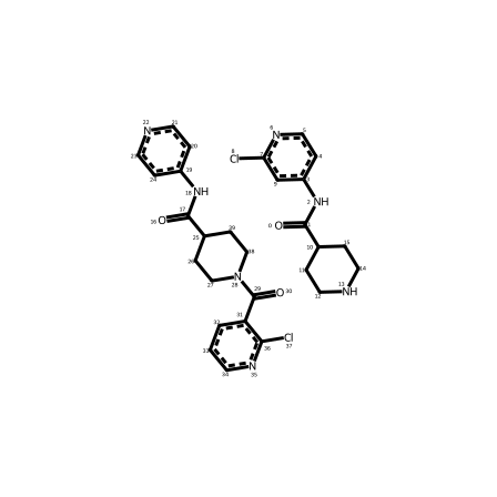 O=C(Nc1ccnc(Cl)c1)C1CCNCC1.O=C(Nc1ccncc1)C1CCN(C(=O)c2cccnc2Cl)CC1